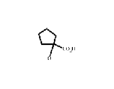 [O]C1(C(=O)O)CCCC1